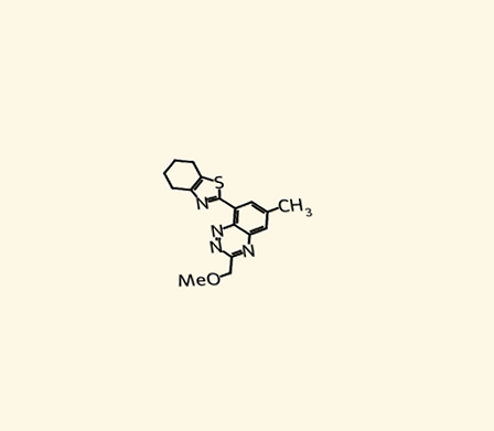 COCc1nnc2c(-c3nc4c(s3)CCCC4)cc(C)cc2n1